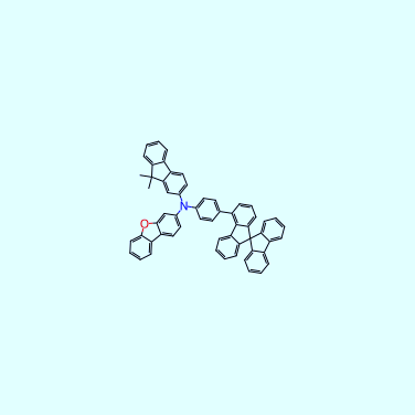 CC1(C)c2ccccc2-c2ccc(N(c3ccc(-c4cccc5c4-c4ccccc4C54c5ccccc5-c5ccccc54)cc3)c3ccc4c(c3)oc3ccccc34)cc21